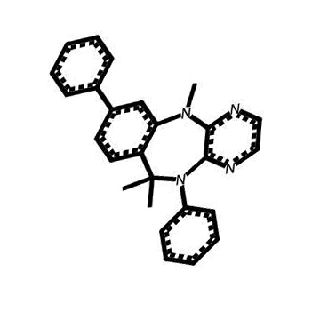 CN1c2cc(-c3ccccc3)ccc2C(C)(C)N(c2ccccc2)c2nccnc21